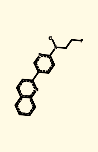 FCCN(Cl)c1ccc(-c2ccc3ccccc3n2)cn1